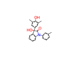 Cc1cccc(N2C(=O)C(O)(c3cc(C)c(O)c(C)c3)c3ccccc32)c1